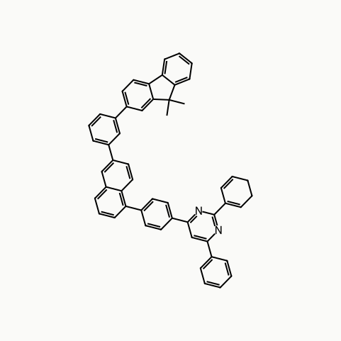 CC1(C)c2ccccc2-c2ccc(-c3cccc(-c4ccc5c(-c6ccc(-c7cc(-c8ccccc8)nc(C8=CCCC=C8)n7)cc6)cccc5c4)c3)cc21